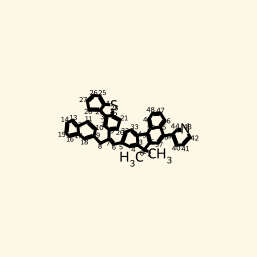 CC1(C)c2cc(/C=C(/Cc3ccc4ccccc4c3)c3ccc4sc5ccccc5c4c3)ccc2-c2c1cc(-c1cccnc1)c1ccccc21